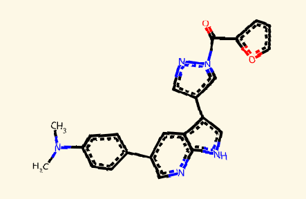 CN(C)c1ccc(-c2cnc3[nH]cc(-c4cnn(C(=O)c5ccco5)c4)c3c2)cc1